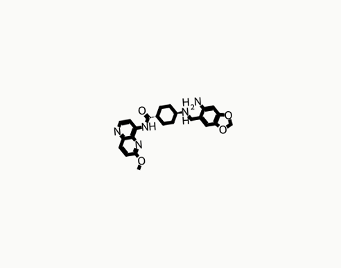 COc1ccc2nccc(NC(=O)[C@H]3CC[C@H](NCc4cc5c(cc4N)OCO5)CC3)c2n1